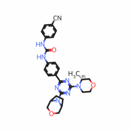 C[C@@H]1COCCN1c1nc(-c2ccc(NC(=O)Nc3ccc(C#N)cc3)cc2)nc(N2C3CCC2COC3)n1